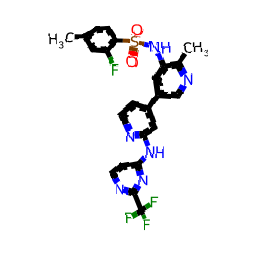 Cc1ccc(S(=O)(=O)Nc2cc(-c3ccnc(Nc4ccnc(C(F)(F)F)n4)c3)cnc2C)c(F)c1